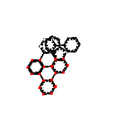 c1ccc(-c2ccccc2-c2c(-c3ccccc3)nnnc2-c2cccc(-c3ccccc3)c2-c2c(-c3ccccc3)ccc3oc4ccccc4c23)cc1